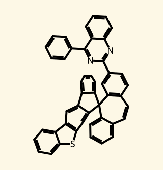 C1=Cc2ccc(-c3nc(-c4ccccc4)c4ccccc4n3)cc2C2(c3ccccc31)c1ccccc1-c1cc3c(cc12)sc1ccccc13